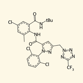 Cc1cc(Cl)cc(C(=O)NC(C)(C)C)c1NC(=O)c1cc(Cn2nnc(C(F)(F)F)n2)nn1-c1c(Cl)cccc1Cl